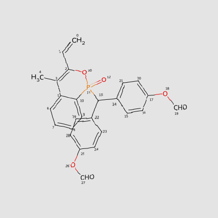 C=CC1=C(C)c2ccccc2P(=O)(C(c2ccc(OC=O)cc2)c2ccc(OC=O)cc2)O1